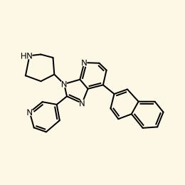 c1cncc(-c2nc3c(-c4ccc5ccccc5c4)ccnc3n2C2CCNCC2)c1